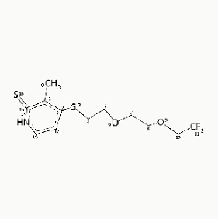 Cc1c(SCCOCCOCC(F)(F)F)cc[nH]c1=S